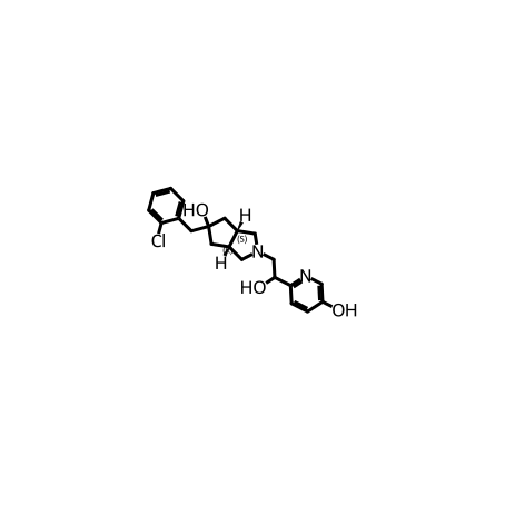 Oc1ccc(C(O)CN2C[C@@H]3CC(O)(Cc4ccccc4Cl)C[C@@H]3C2)nc1